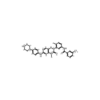 Cc1ccc(NC(=O)c2cccc(C(F)(F)F)c2)cc1N1Cc2cnc(Nc3ccc(N4CCNCC4)cc3)nc2N(C)C1=O